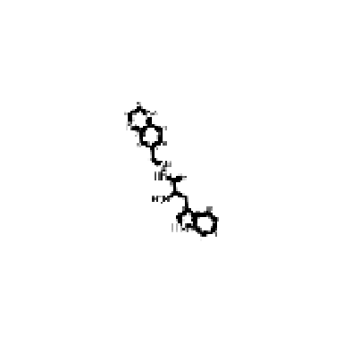 NC(Cc1c[nH]c2ccccc12)C(=O)N/N=C/c1ccc2nccnc2c1